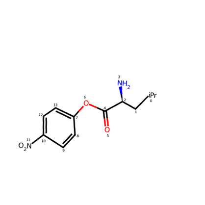 CC(C)C[C@H](N)C(=O)Oc1ccc([N+](=O)[O-])cc1